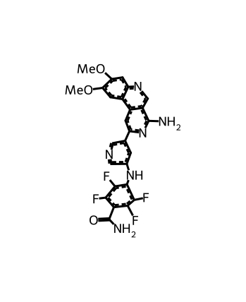 COc1cc2ncc3c(N)nc(-c4cncc(Nc5c(F)c(F)c(C(N)=O)c(F)c5F)c4)cc3c2cc1OC